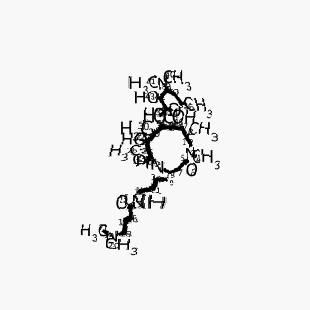 C[C@H]1CN(C)C(=O)C[C@H](CCCCNC(=O)/C=C/CN(C)C)NC(=O)[C@H](C)[C@@H](O)[C@H](C)[C@@H](O[C@@H]2O[C@H](C)C[C@H](N(C)C)[C@H]2O)[C@](C)(O)C1